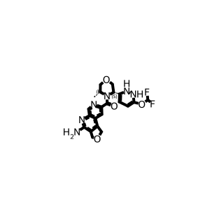 C[C@@H]1COC[C@H](C2=CC=C(OC(F)F)NN2)N1C(=O)c1cc2c3c(c(N)nc2cn1)COC3